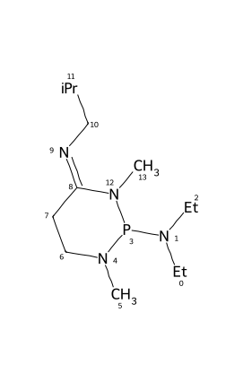 CCN(CC)P1N(C)CCC(=NCC(C)C)N1C